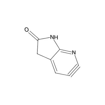 O=C1Cc2cc#cnc2N1